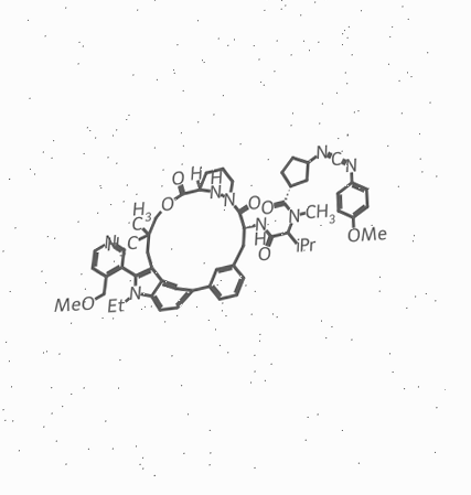 CCn1c(-c2cnccc2COC)c2c3cc(ccc31)-c1cccc(c1)C[C@H](NC(=O)C(C(C)C)N(C)C(=O)[C@@H]1CCC(N=C=Nc3ccc(OC)cc3)C1)C(=O)N1CCC[C@H](N1)C(=O)OCC(C)(C)C2